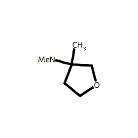 CNC1(C)CCOC1